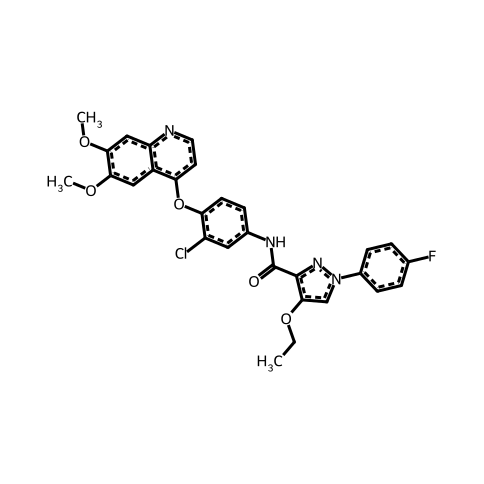 CCOc1cn(-c2ccc(F)cc2)nc1C(=O)Nc1ccc(Oc2ccnc3cc(OC)c(OC)cc23)c(Cl)c1